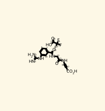 N=C(N)Nc1cccc(C(=O)NCC(=O)NC#CC(=O)O)c1.O=C(O)C(F)(F)F